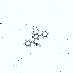 CCn1c(-c2ccccc2)nc(N(N)c2ccccn2)nc1=O